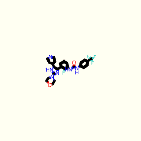 O=C(Nc1ccc(C(F)(F)F)cc1)Nc1cccc(-c2nc(N3CCOCC3)[nH]c2-c2ccncc2)c1F